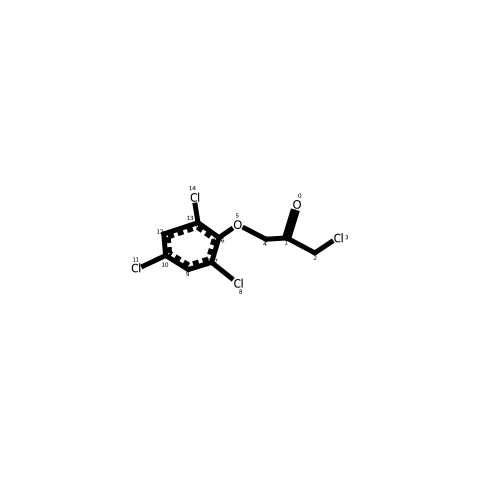 O=C(CCl)COc1c(Cl)cc(Cl)cc1Cl